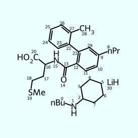 CCCCNC1CCCCC1.CCCc1ccc(C(=O)NC(CCSC)C(=O)O)c(-c2ccccc2C)c1.[LiH]